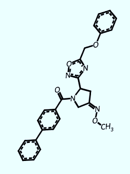 CON=C1CC(c2noc(COc3ccccc3)n2)N(C(=O)c2ccc(-c3ccccc3)cc2)C1